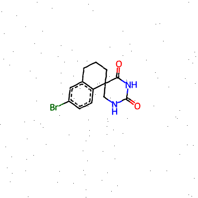 O=C1NCC2(CCCc3cc(Br)ccc32)C(=O)N1